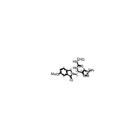 COc1ccc2c(c1)C(=O)N(C[C@H](NC(=O)NC=O)c1cn(C(C)C)nn1)C2